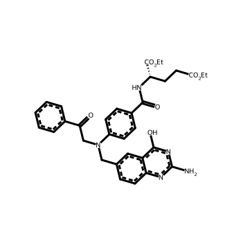 CCOC(=O)CC[C@H](NC(=O)c1ccc(N(CC(=O)c2ccccc2)Cc2ccc3nc(N)nc(O)c3c2)cc1)C(=O)OCC